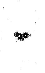 C=CC(=O)N(CC1COC1)c1ccc(C)cc1